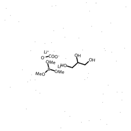 COB(OC)OC.O=C([O-])[O-].OCC(O)CO.[Li+].[Li+]